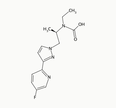 CCN(C(=O)O)[C@H](C)Cn1ccc(-c2ccc(F)cn2)n1